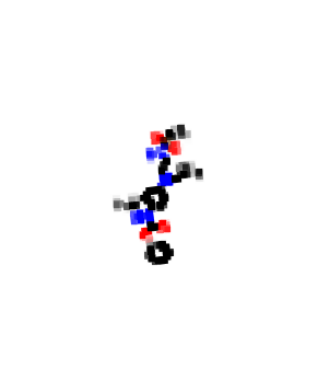 CCN(CCNS(C)(=O)=O)c1ccc(NC(=O)Oc2ccccc2)c(C)c1